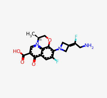 C[C@H]1COc2c(N3CC(=C(F)CN)C3)c(F)cc3c(=O)c(C(=O)O)cn1c23